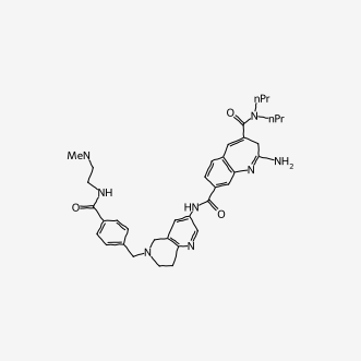 CCCN(CCC)C(=O)C1=Cc2ccc(C(=O)Nc3cnc4c(c3)CN(Cc3ccc(C(=O)NCCNC)cc3)CC4)cc2N=C(N)C1